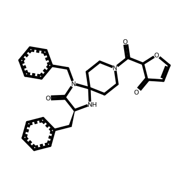 O=C1C=COC1C(=O)N1CCC2(CC1)N[C@@H](Cc1ccccc1)C(=O)N2Cc1ccccc1